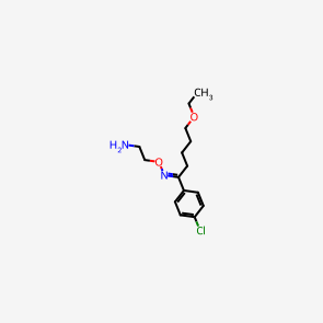 CCOCCCCC(=NOCCN)c1ccc(Cl)cc1